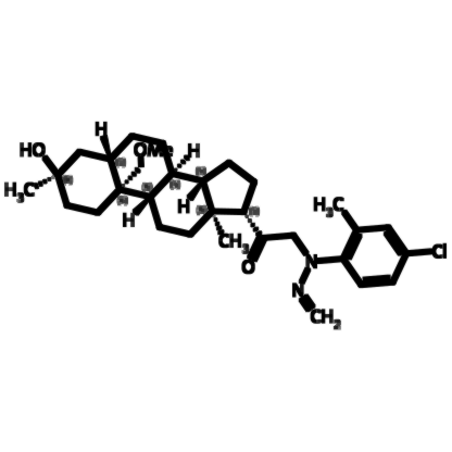 C=NN(CC(=O)[C@H]1CC[C@H]2[C@@H]3CC[C@H]4C[C@](C)(O)CC[C@]4(COC)[C@H]3CC[C@]12C)c1ccc(Cl)cc1C